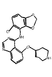 Clc1ccc2c(c1Nc1ncnc3cccc(OC4CCNCC4)c13)OCO2